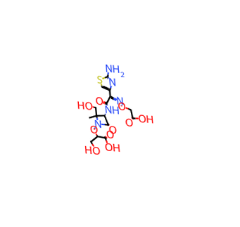 CC1(CO)[C@H](NC(=O)/C(=N\OCC(=O)O)c2csc(N)n2)C(=O)N1OC(CO)C(=O)O